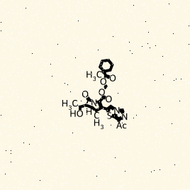 CC(=O)c1ncn2cc(C3=C(C(=O)OCOC(=O)C4(C)CCCCC4)N4C(=O)[C@H]([C@@H](C)O)[C@H]4[C@H]3C)sc12